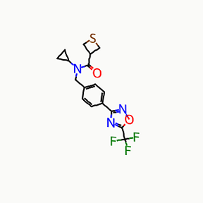 O=C(C1CSC1)N(Cc1ccc(-c2noc(C(F)(F)F)n2)cc1)C1CC1